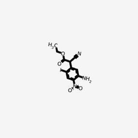 CCOC(=O)C(C#N)c1cc(N)c([N+](=O)[O-])cc1I